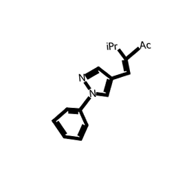 CC(=O)/C(=C/c1cnn(-c2ccccc2)c1)C(C)C